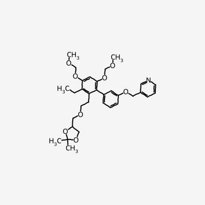 CCc1c(OCOC)cc(OCOC)c(-c2cccc(OCc3cccnc3)c2)c1CCOCC1COC(C)(C)O1